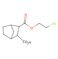 O=C(O)C1C2CCC(C2)C1C(=O)OCCS